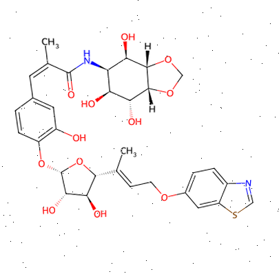 CC(=Cc1ccc(O[C@@H]2O[C@H](/C(C)=C/COc3ccc4ncsc4c3)[C@@H](O)[C@@H]2O)c(O)c1)C(=O)N[C@@H]1[C@H](O)[C@@H](O)[C@H]2OCO[C@H]2[C@@H]1O